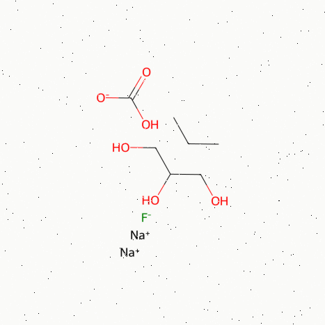 CCC.O=C([O-])O.OCC(O)CO.[F-].[Na+].[Na+]